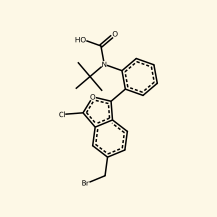 CC(C)(C)N(C(=O)O)c1ccccc1-c1oc(Cl)c2cc(CBr)ccc12